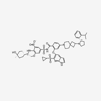 CC(C)c1ccccc1[C@@H]1CCCN1C1CC2(CCN(c3ccc(C(=O)NS(=O)(=O)c4cc5c(c([N+](=O)[O-])c4)N[C@@H]([C@H]4CC[C@](C)(O)CC4)CO5)c(Oc4cc5cc[nH]c5nc4S(=O)(=O)C4CC4)c3)CC2)C1